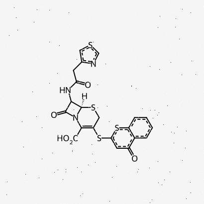 O=C(Cc1cscn1)NC1C(=O)N2C(C(=O)O)=C(Sc3cc(=O)c4ccccc4s3)CS[C@H]12